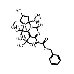 C[SiH](C)[C@]1(n2c(C(C)(C)C)c(C(C)(C)C)c(NC(=O)OCc3ccccc3)nc2=O)C[C@H](O)[C@@H](CO)O1